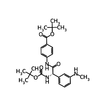 CNc1cccc([C@H](NC(=O)OC(C)(C)C)C(=O)Nc2ccc(C(=O)OC(C)(C)C)cc2)c1